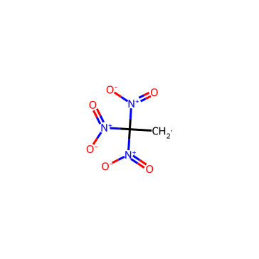 [CH2]C([N+](=O)[O-])([N+](=O)[O-])[N+](=O)[O-]